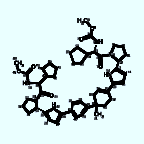 COC(=O)N[C@H](C(=O)N1CCC[C@H]1c1ncc(C2=CCC(C)(c3ccc(-c4cnc([C@@H]5CCCN5C(=O)[C@@H](NC(=O)OC)C5CCCC5)[nH]4)cc3)CC2)[nH]1)C1CCCC1